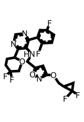 Fc1ccc(F)c(-c2ncnc(C3CCC(F)(F)CO3)c2NCc2cc(OCC3CC3(F)F)no2)c1